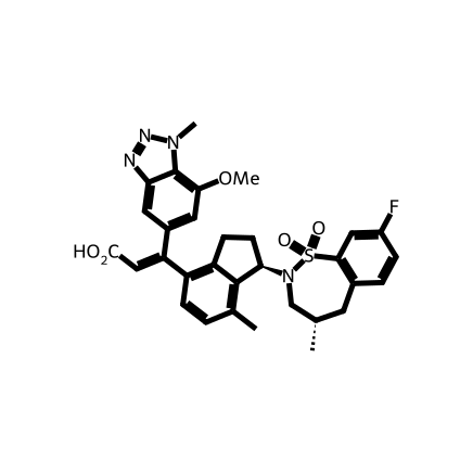 COc1cc(C(=CC(=O)O)c2ccc(C)c3c2CC[C@H]3N2C[C@@H](C)Cc3ccc(F)cc3S2(=O)=O)cc2nnn(C)c12